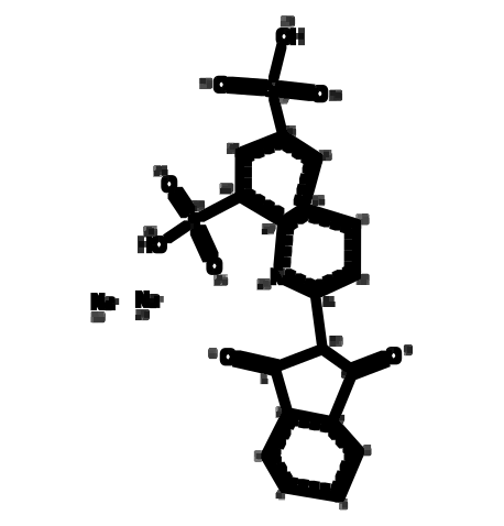 O=C1c2ccccc2C(=O)C1c1ccc2cc(S(=O)(=O)O)cc(S(=O)(=O)O)c2n1.[Na].[Na]